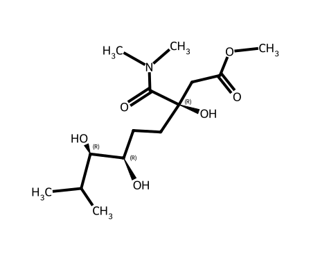 COC(=O)C[C@](O)(CC[C@@H](O)[C@H](O)C(C)C)C(=O)N(C)C